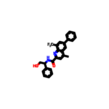 Cc1cc(C(=O)NC(CO)c2ccccc2)nc2c(C(F)(F)F)cc(-c3ccccc3)cc12